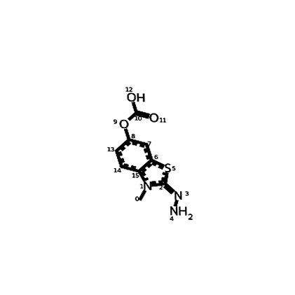 Cn1c(=NN)sc2cc(OC(=O)O)ccc21